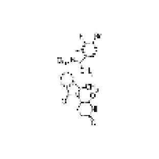 C[C@@H]1c2cc(C(=O)N3Cc4c(ccc(Br)c4F)[C@@H]3C)ccc2C(=O)N1[C@H]1CCC(=O)NC1=O